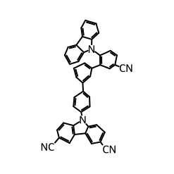 N#Cc1ccc(-n2c3ccccc3c3ccccc32)c(-c2cccc(-c3ccc(-n4c5ccc(C#N)cc5c5cc(C#N)ccc54)cc3)c2)c1